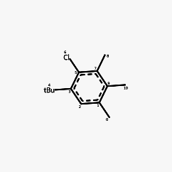 Cc1cc(C(C)(C)C)c(Cl)c(C)c1C